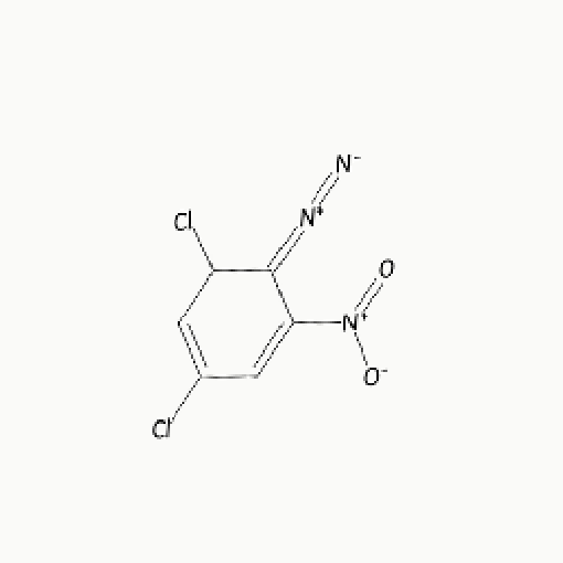 [N-]=[N+]=C1C([N+](=O)[O-])=CC(Cl)=CC1Cl